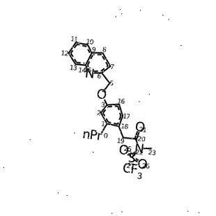 CCCc1cc(OCc2ccc3ccccc3n2)ccc1CC(=O)N(C)S(=O)(=O)C(F)(F)F